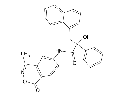 Cc1noc(=O)c2ccc(NC(=O)C(O)(Cc3cccc4ccccc34)c3ccccc3)cc12